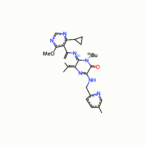 C=C(/N=C1\C(=C(C)C)N=C(NCc2ccc(C)cn2)C(=O)N1[C@@H](C)CC)c1c(OC)ncnc1C1CC1